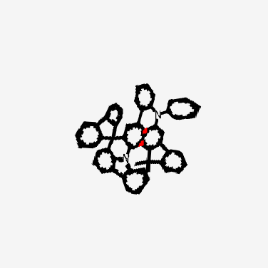 CC1(C)c2ccccc2-c2cc(N(c3ccccc3)c3ccccc3-c3ccc4c(c3)C3(c5ccccc5-c5ccccc53)c3cccc5c6ccccc6n-4c35)ccc21